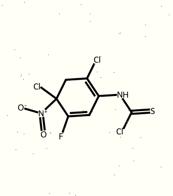 O=[N+]([O-])C1(Cl)CC(Cl)=C(NC(=S)Cl)C=C1F